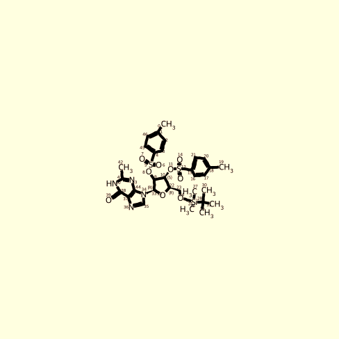 Cc1ccc(S(=O)(=O)OC2[C@@H](OS(=O)(=O)c3ccc(C)cc3)[C@@H](CO[Si](C)(C)C(C)(C)C)O[C@H]2n2cnc3c(=O)[nH]c(C)nc32)cc1